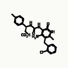 Cc1ccc([C@H](CC(=O)O)NC(=O)Nc2c(N)c(Cc3ccccc3Cl)c(C)[nH]c2=O)cc1